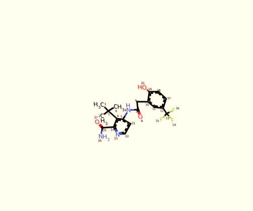 CC(C)(C)c1c(NC(=O)Cc2cc(C(F)(F)F)ccc2O)ccnc1C(N)=O